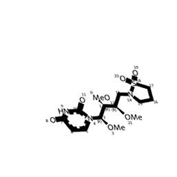 CO[C@@H]([C@@H](OC)n1ccc(=O)[nH]c1=O)[C@@H](CN1CCCS1(=O)=O)OC